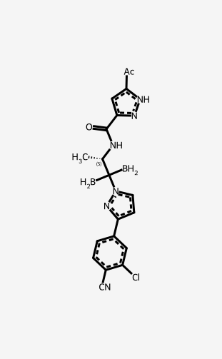 BC(B)([C@H](C)NC(=O)c1cc(C(C)=O)[nH]n1)n1ccc(-c2ccc(C#N)c(Cl)c2)n1